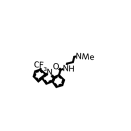 CNCCCNC(=O)c1cccc2cc3cccc(C(F)(F)F)c3nc12